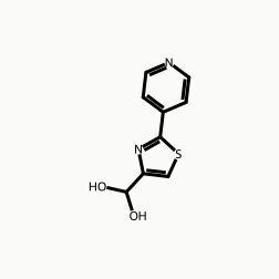 OC(O)c1csc(-c2ccncc2)n1